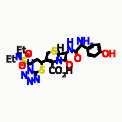 CCN(CC)S(=O)(=O)CCC(Sc1nnn[nH]1)C1=C(C(=O)O)N2C(=O)C(NC(=O)C(N)c3ccc(O)cc3)[C@@H]2SC1